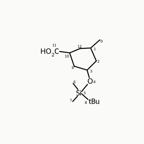 CC1CC(O[Si](C)(C)C(C)(C)C)CC(C(=O)O)C1